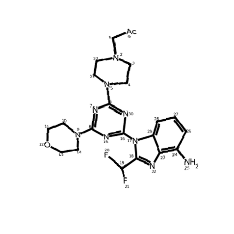 CC(=O)CN1CCN(c2nc(N3CCOCC3)nc(-n3c(C(F)F)nc4c(N)cccc43)n2)CC1